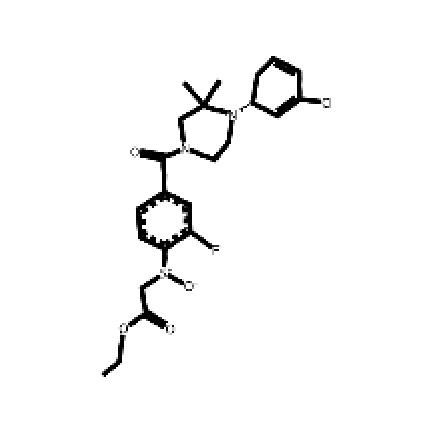 CCOC(=O)C[S+]([O-])c1ccc(C(=O)N2CCN([C@H]3C=C(Cl)C=CC3)C(C)(C)C2)cc1F